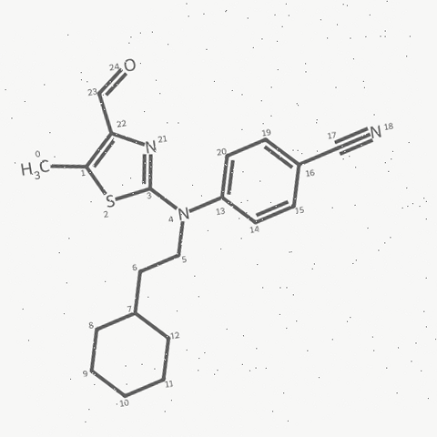 Cc1sc(N(CCC2CCCCC2)c2ccc(C#N)cc2)nc1C=O